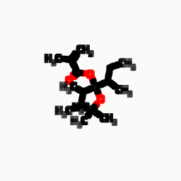 C=C(C)C(=O)O[Si](O[Si](C)(C)C)(C(C)CC)C(C)CC